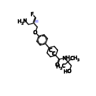 CC(C)(CO)NC(=O)C12CCC(c3ccc(OC/C(=C/F)CN)cc3)(CC1)CC2